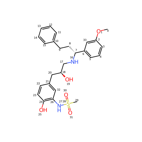 COc1cccc([C@@H](CCc2ccccc2)NC[C@@H](O)Cc2ccc(O)c(NS(C)(=O)=O)c2)c1